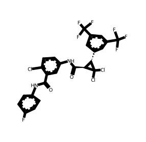 O=C(Nc1ccc(F)cc1)c1cc(NC(=O)[C@H]2[C@H](c3cc(C(F)(F)F)cc(C(F)(F)F)c3)C2(Cl)Cl)ccc1Cl